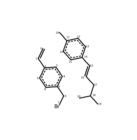 C=Cc1ccc(CBr)cc1.Cc1ccc(C=CCC(C)C)cc1